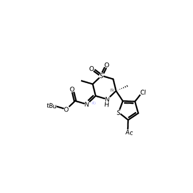 CC(=O)c1cc(Cl)c([C@]2(C)CS(=O)(=O)C(C)/C(=N\C(=O)OC(C)(C)C)N2)s1